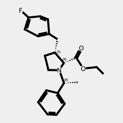 CCOC(=O)[C@H]1[C@@H](Cc2ccc(F)cc2)CCN1[C@H](C)c1ccccc1